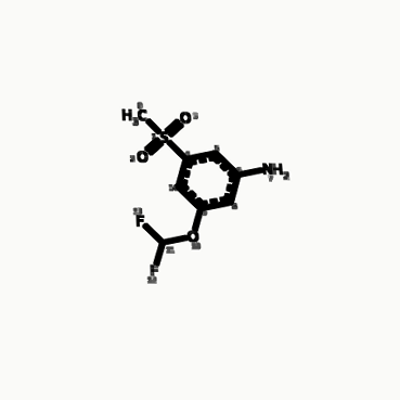 CS(=O)(=O)c1cc(N)cc(OC(F)F)c1